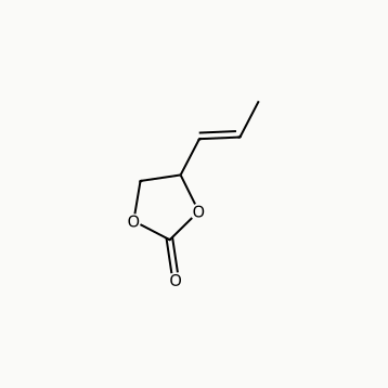 CC=CC1COC(=O)O1